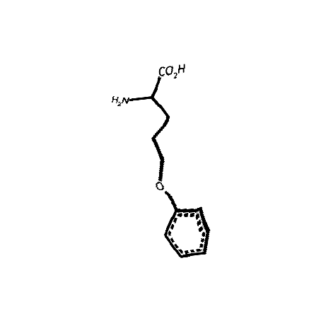 NC(CCCOc1ccccc1)C(=O)O